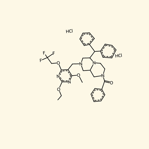 CCOc1nc(OC)c(CN2CC3CN(C(=O)c4ccccc4)CCN3C(C(c3ccccc3)c3ccccc3)C2)c(OCC(F)(F)F)n1.Cl.Cl